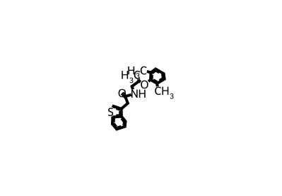 Cc1cccc(C)c1OC(C)CNC(=O)Cc1csc2ccccc12